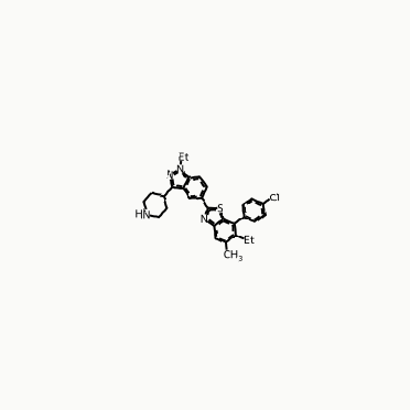 CCc1c(C)cc2nc(-c3ccc4c(c3)c(C3CCNCC3)nn4CC)sc2c1-c1ccc(Cl)cc1